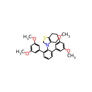 COc1cc(OC)cc(-c2cccc(-c3cc(OC)cc(OC)c3)c2N2CSC3=C2CCCC3)c1